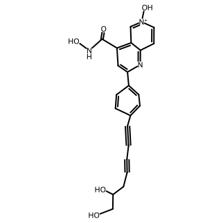 O=C(NO)c1cc(-c2ccc(C#CC#CCC(O)CO)cc2)nc2cc[n+](O)cc12